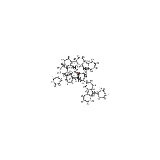 c1ccc(-c2ccc(-c3nc(-c4ccc5c(c4)c4ccccc4n5-c4ccccc4)nc(-n4c5ccccc5c5ccc6c7ccccc7n(-c7ccccc7-c7ccccc7)c6c54)n3)cc2)cc1